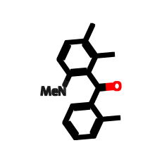 CNc1ccc(C)c(C)c1C(=O)c1ccccc1C